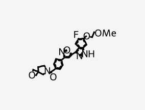 COCCOc1cc2[nH]nc(-c3cc(-c4ccc(C(=O)N5CCC6(COC6)C5)cc4)no3)c2cc1F